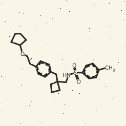 Cc1ccc(S(=O)(=O)NCC2(Cc3ccc(CCOC4CCCC4)cc3)CCC2)cc1